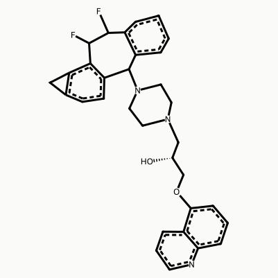 O[C@@H](COc1cccc2ncccc12)CN1CCN(C2c3ccccc3C(F)C(F)c3c2ccc2c3C2)CC1